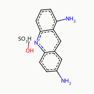 Nc1ccc2nc3cccc(N)c3cc2c1.O=S(=O)(O)O